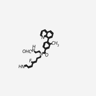 Cc1cc(C(=O)N(CC/C=C(F)/C=C\C=N)CCNC=O)ccc1-c1cccc2cccnc12